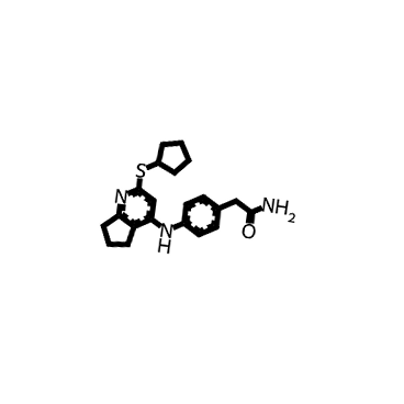 NC(=O)Cc1ccc(Nc2cc(SC3CCCC3)nc3c2CCC3)cc1